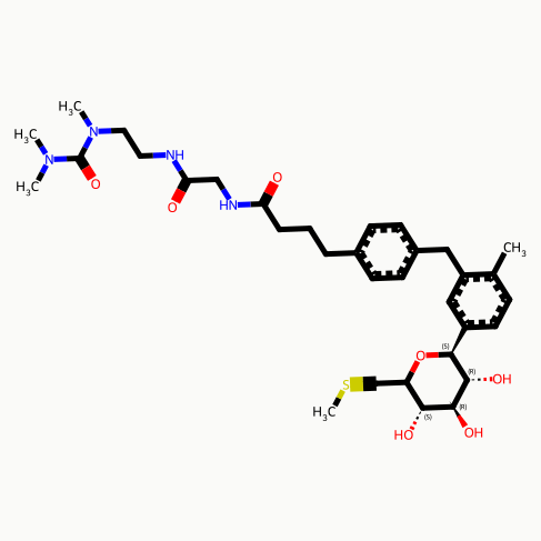 CS#CC1O[C@@H](c2ccc(C)c(Cc3ccc(CCCC(=O)NCC(=O)NCCN(C)C(=O)N(C)C)cc3)c2)[C@H](O)[C@@H](O)[C@@H]1O